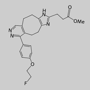 COC(=O)CCc1nc2c([nH]1)CCc1cnnc(-c3ccc(OCCF)cc3)c1CC2